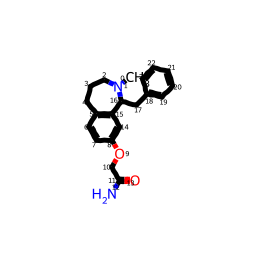 CN1CCCc2ccc(OCC(N)=O)cc2C1Cc1ccccc1